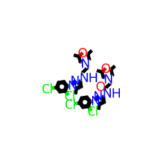 Cc1cc(NC(=O)CN2CC(C)OC(C)C2)nn1-c1ccc(Cl)cc1Cl.Cc1cc(NCCN2CC(C)OC(C)C2)nn1-c1ccc(Cl)cc1Cl